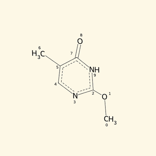 COc1ncc(C)c(=O)[nH]1